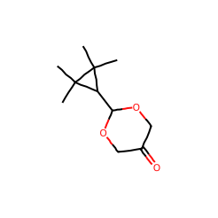 CC1(C)C(C2OCC(=O)CO2)C1(C)C